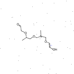 CC(COCN(C)CO/C=C/O)OCC=O